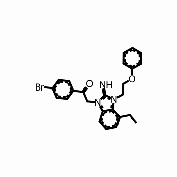 CCc1cccc2c1n(CCOc1ccccc1)c(=N)n2CC(=O)c1ccc(Br)cc1